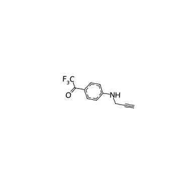 C#CCNc1ccc(C(=O)C(F)(F)F)cc1